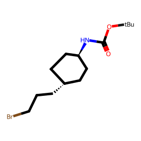 CC(C)(C)OC(=O)N[C@H]1CC[C@H](CCCBr)CC1